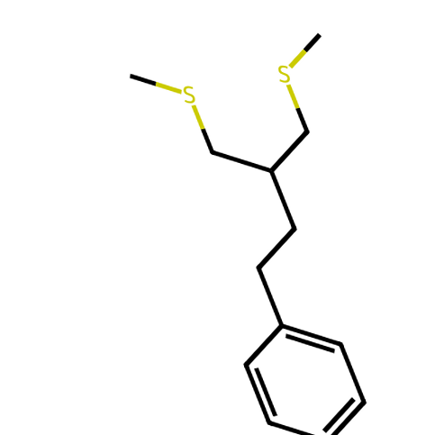 CSCC(CCc1ccccc1)CSC